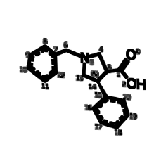 O=C(O)C1CN(Cc2ccccc2)C[C@@H]1c1ccccc1